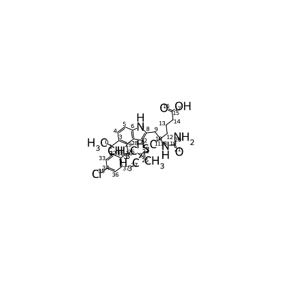 CC(C)c1ccc2[nH]c(CC(C)(CCCC(=O)O)NC(N)=O)c(SC(C)(C)C)c2c1Cc1ccc(Cl)cc1